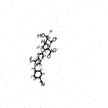 CSc1c2sc(C3=C(C(=O)[O-])N4C(=O)[C@H]([C@@H](C)O)[C@H]4[C@H]3C)c[n+]2cn1Cc1ccc(C#N)cc1